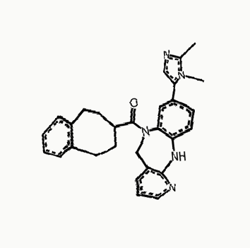 Cc1ncc(-c2ccc3c(c2)N(C(=O)C2CCc4ccccc4CC2)Cc2cccnc2N3)n1C